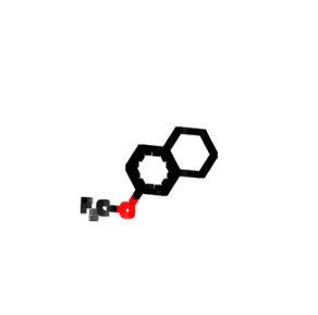 FC(F)(F)Oc1ccc2c(c1)CCCC2